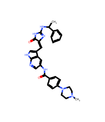 CC(NC1=NC(=Cc2c[nH]c3ncc(NC(=O)c4ccc(N5CCN(C)CC5)cc4)cc23)C(=O)N1)c1ccccc1